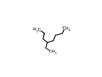 C[C]C(CCC)CCCC